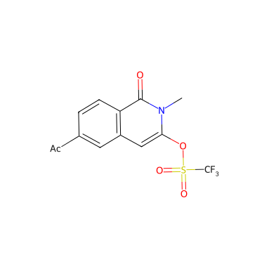 CC(=O)c1ccc2c(=O)n(C)c(OS(=O)(=O)C(F)(F)F)cc2c1